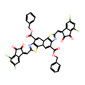 O=C(OCc1ccccc1)C1=CC2c3sc(/C=C4\C(=O)C(=O)c5c(F)cc(F)cc54)nc3C(C(=O)OCc3ccccc3)=CC2c2sc(/C=C3\C(=O)C(=O)c4c(F)cc(F)cc43)nc21